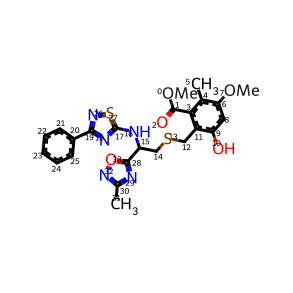 COC(=O)c1c(C)c(OC)cc(O)c1CSCC(Nc1nc(-c2ccccc2)ns1)c1nc(C)no1